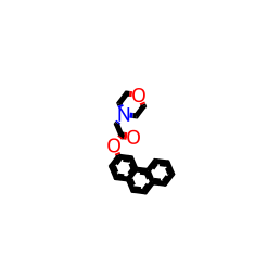 O=C(CN1CCOCC1)Oc1ccc2ccc3ccccc3c2c1